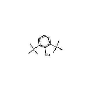 CC(C)(C)c1c(S(C)(C)C)cccc1S(C)(C)C